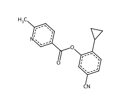 Cc1ccc(C(=O)Oc2cc(C#N)ccc2C2CC2)cn1